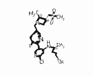 C[C@@H](CCO)Nc1cc(Cl)ncc1-c1ncc(CN2C[C@@H](CS(C)(=O)=O)[C@@H]2C)cc1F